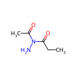 CCC(=O)N(N)C(C)=O